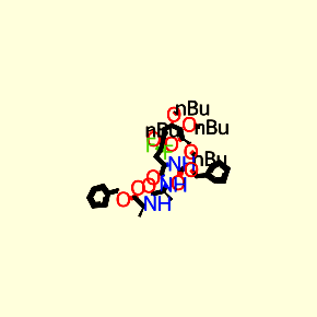 CCCCOC[C@H]1OC(OCCCC)(C(F)(F)CC(NC(=O)OCc2ccccc2)C(=O)N[C@@H](C)C(=O)N[C@@H](C)C(=O)OCc2ccccc2)C[C@@H](OCCCC)[C@H]1OCCCC